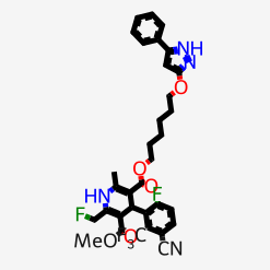 COC(=O)C1=C(CF)NC(C)=C(C(=O)OCCCCCCOc2cc(-c3ccccc3)[nH]n2)C1c1c(F)ccc(C#N)c1C(F)(F)F